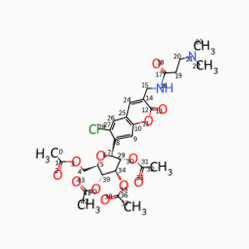 CC(=O)OC[C@H]1O[C@@H](c2cc3oc(=O)c(CNC(=O)CCN(C)C)cc3cc2Cl)[C@H](OC(C)=O)[C@@H](OC(C)=O)[C@@H]1OC(C)=O